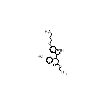 CCOC(=O)CC(c1ccccc1)c1c[nH]c2cc(OCCCN)ccc12.Cl